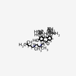 CC(C)=CCC/C(C)=C/CC/C(C)=C/CN1C(=O)c2cccc(OP(=O)(ON)ON)c2Nc2c(OP(=O)(O)O)cc(O)cc21